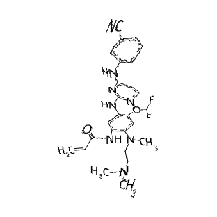 C=CC(=O)Nc1cc(Nc2nccc(Nc3cccc(C#N)c3)n2)c(OC(F)F)cc1N(C)CCN(C)C